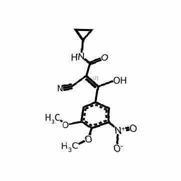 COc1cc(/C(O)=C(\C#N)C(=O)NC2CC2)cc([N+](=O)[O-])c1OC